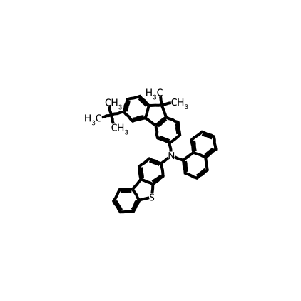 CC(C)(C)c1ccc2c(c1)-c1cc(N(c3ccc4c(c3)sc3ccccc34)c3cccc4ccccc34)ccc1C2(C)C